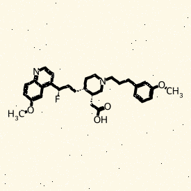 COc1cccc(CCCN2CC[C@@H](CC[C@H](F)c3ccnc4ccc(OC)cc34)[C@@H](CC(=O)O)C2)c1